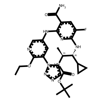 CCOc1ncc(Nc2nc(N[C@H](C3CC3)[C@H](C)NC(=O)OC(C)(C)C)c(F)cc2C(N)=O)cc1-n1ccnn1